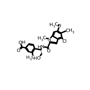 COc1cc2c(cc(C(=O)N[C@H](CO)c3ccc(C(=O)O)cc3C)n2C)c(Cl)c1C